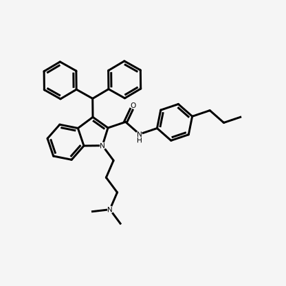 CCCc1ccc(NC(=O)c2c(C(c3ccccc3)c3ccccc3)c3ccccc3n2CCCN(C)C)cc1